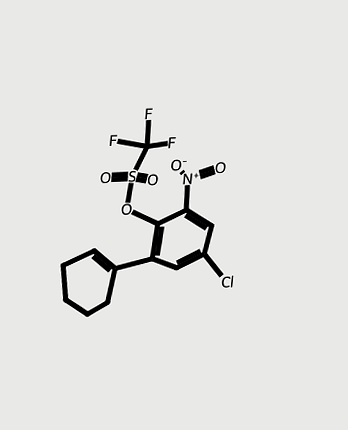 O=[N+]([O-])c1cc(Cl)cc(C2=CCCCC2)c1OS(=O)(=O)C(F)(F)F